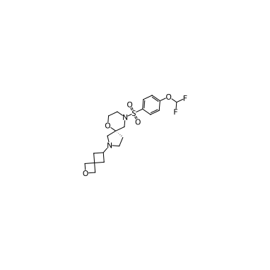 O=S(=O)(c1ccc(OC(F)F)cc1)N1CCO[C@@]2(CCN(C3CC4(COC4)C3)C2)C1